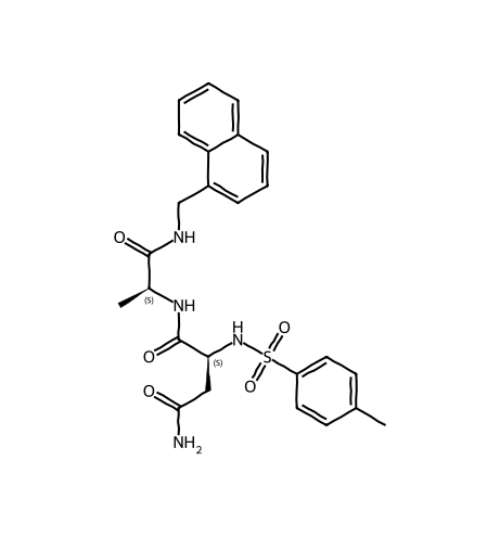 Cc1ccc(S(=O)(=O)N[C@@H](CC(N)=O)C(=O)N[C@@H](C)C(=O)NCc2cccc3ccccc23)cc1